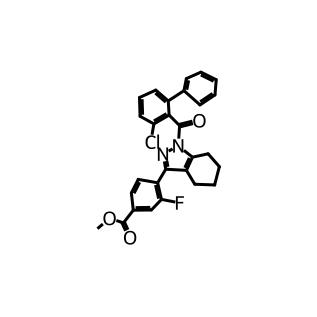 COC(=O)c1ccc(-c2nn(C(=O)c3c(Cl)cccc3-c3ccccc3)c3c2CCCC3)c(F)c1